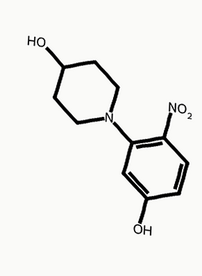 O=[N+]([O-])c1ccc(O)cc1N1CCC(O)CC1